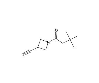 [CH2]C(C)(C)CC(=O)N1CC(C#N)C1